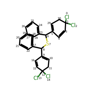 ClC1(Cl)C=CC(C(SC(C2=CCC(Cl)(Cl)C=C2)c2ccccc2)c2ccccc2)=CC1